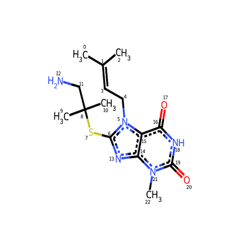 CC(C)=CCn1c(SC(C)(C)CN)nc2c1c(=O)[nH]c(=O)n2C